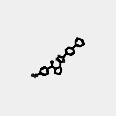 O=C(c1ccc([N+](=O)[O-])cc1)N1CCCC1c1nnc(-c2ccc(-c3ccccc3)cc2)o1